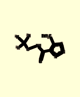 [2H]C([2H])([2H])ONC(=O)c1nnsc1C(=O)OCC